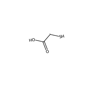 O=C(O)[CH]S